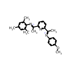 COc1ccc(/N=C(\C)c2cccc(/C(C)=N/c3c(C)cc(C)cc3C)n2)cc1